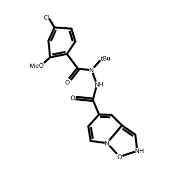 COc1cc(Cl)ccc1C(=O)N(NC(=O)C1=CC2=CNON2C=C1)C(C)(C)C